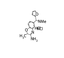 CNC(c1ccc2c(c1)N=C(N)C(C)O2)c1ccco1.Cl.Cl